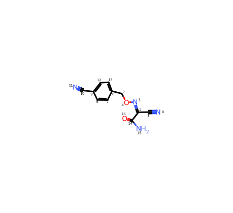 N#CC(=NOCc1ccc(C#N)cc1)C(N)=O